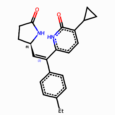 CCc1ccc(/C(=C/[C@H]2CCC(=O)N2)c2ccc(C3CC3)c(=O)[nH]2)cc1